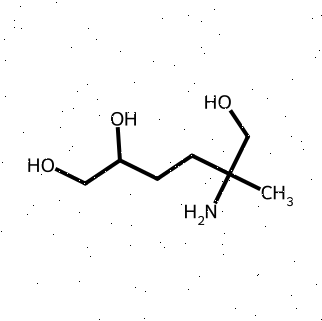 CC(N)(CO)CCC(O)CO